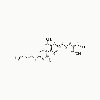 CCCCCc1ccc(-c2ccc(CCCC(CO)CO)cc2CC)c(F)c1